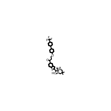 CN1CC(C)(C)CN(C)P1(=O)C(O)c1cc2cc(C(=O)CCOc3ccc(-c4ccc(C(F)(F)F)cc4)cc3)ccc2s1